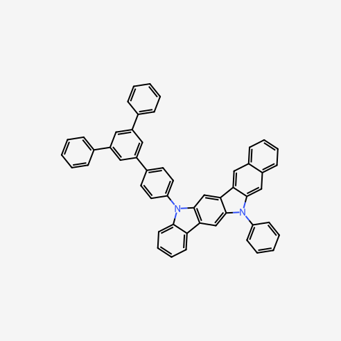 c1ccc(-c2cc(-c3ccccc3)cc(-c3ccc(-n4c5ccccc5c5cc6c(cc54)c4cc5ccccc5cc4n6-c4ccccc4)cc3)c2)cc1